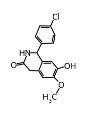 COc1cc2c(cc1O)C(c1ccc(Cl)cc1)NC(=O)C2